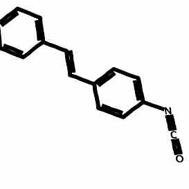 O=C=Nc1ccc(/C=C/c2ccccc2)cc1